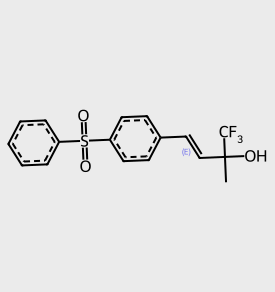 CC(O)(/C=C/c1ccc(S(=O)(=O)c2ccccc2)cc1)C(F)(F)F